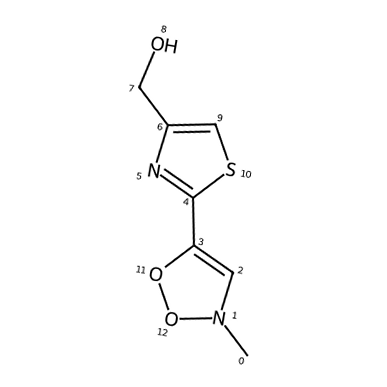 CN1C=C(c2nc(CO)cs2)OO1